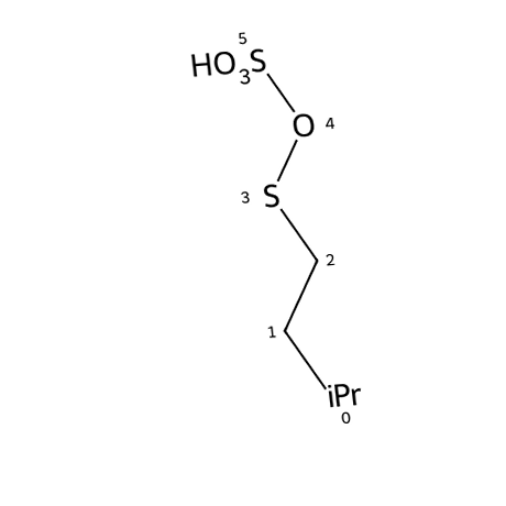 CC(C)CCSOS(=O)(=O)O